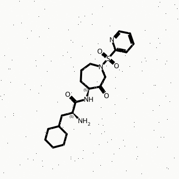 N[C@@H](CC1CCCCC1)C(=O)N[C@H]1CCCN(S(=O)(=O)c2ccccn2)CC1=O